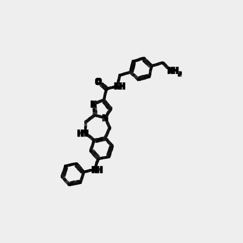 NCc1ccc(CNC(=O)c2cn3c(n2)CNc2cc(Nc4ccccc4)ccc2C3)cc1